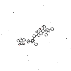 c1ccc(-c2cc(-c3cccnc3-c3ccc4c(c3)C3(c5cc(-c6cccc(-c7cc(-c8ccc(-c9ccc%10c(c9)C9(c%11ccccc%11O%10)c%10ccccc%10-c%10ccccc%109)o8)nc(-c8ccccc8)n7)c6)ccc5O4)c4ccccc4-c4ccccc43)nc(-c3ccccc3)n2)cc1